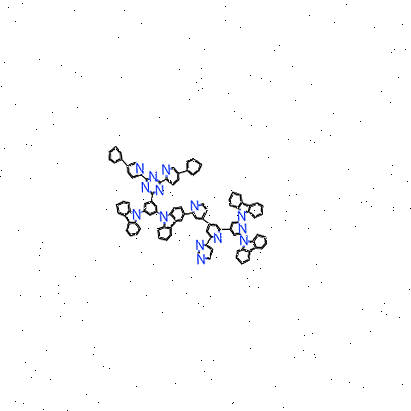 c1ccc(-c2ccc(-c3nc(-c4cc(-n5c6ccccc6c6ccccc65)cc(-n5c6ccccc6c6cc(-c7cc(-c8cc(-c9cc(-n%10c%11ccccc%11c%11ccccc%11%10)nc(-n%10c%11ccccc%11c%11ccccc%11%10)c9)nc(-c9ccncn9)c8)ccn7)ccc65)c4)nc(-c4ccc(-c5ccccc5)cn4)n3)nc2)cc1